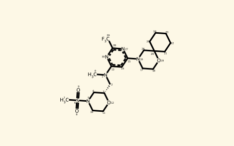 CN(C[C@H]1CN(S(C)(=O)=O)CCO1)c1cc(N2CCOC3(CCCCC3)C2)nc(C(F)(F)F)n1